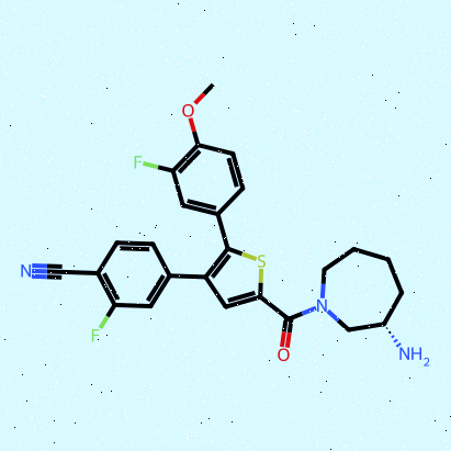 COc1ccc(-c2sc(C(=O)N3CCCC[C@H](N)C3)cc2-c2ccc(C#N)c(F)c2)cc1F